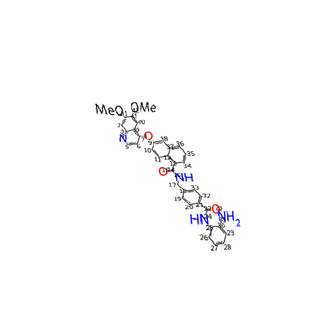 COc1cc2nccc(Oc3ccc4c(C(=O)NCc5ccc(C(=O)Nc6ccccc6N)cc5)cccc4c3)c2cc1OC